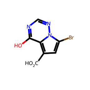 O=C(O)c1cc(Br)n2ncnc(O)c12